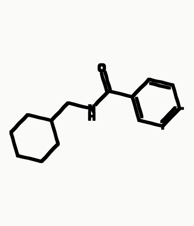 O=C(NCC1CCCCC1)c1c[c][c]cc1